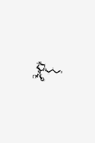 CCCCn1cncc1[N+](=O)[O-]